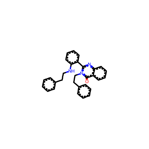 O=c1c2ccccc2nc(-c2ccccc2NCCc2ccccc2)n1CCc1ccccc1